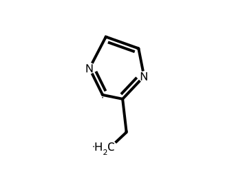 [CH2]Cc1[c]nccn1